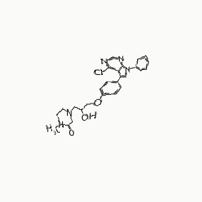 CN1CCN(CC(O)COc2ccc(-c3cn(-c4ccccc4)c4ncnc(Cl)c34)cc2)CC1=O